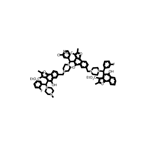 CCOC(=O)c1c(C)oc2c1c(C(c1cccc(F)c1)N1CCN(Cc3ccc4c(c3)c(O)c(C(c3ccnc(Cl)c3)N3CCN(Cc5ccc6c(c5)c(O)c(C(c5ccccc5F)N5CCN(C)CC5)c5c(C(=O)OCC)c(C)oc56)CC3)c3c(C(=O)OCC)c(C)oc34)CC1)c(O)c1ccccc12